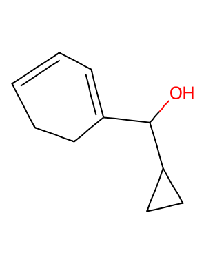 OC(C1=CC=CCC1)C1CC1